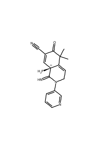 CC1(C)C(=O)C(C#N)=C[C@@]2(P)C(=N)N(c3cccnc3)CC=C12